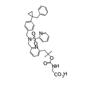 CC(C)(Cc1cccc(CN(Cc2ccc(C3(Cc4ccccc4)CC3)cc2)S(=O)(=O)c2ccccn2)n1)OC(=O)NCC(=O)O